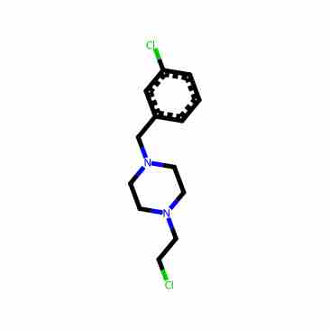 ClCCN1CCN(Cc2cccc(Cl)c2)CC1